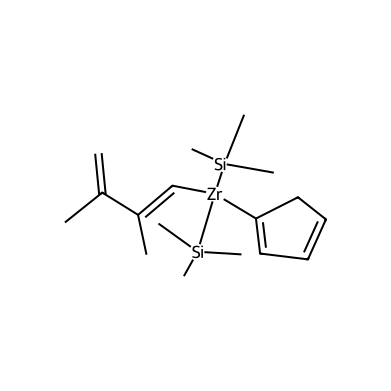 C=C(C)C(C)=[CH][Zr]([C]1=CC=CC1)([Si](C)(C)C)[Si](C)(C)C